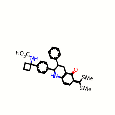 CSC(SC)=C1C=CC2=C(CC(c3ccccc3)C(c3ccc(C4(NC(=O)O)CCC4)cc3)N2)C1=O